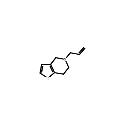 C=CCN1CCc2occc2C1